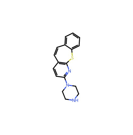 C1=Cc2ccc(N3CCNCC3)nc2Sc2ccccc21